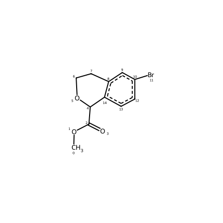 COC(=O)C1OCCc2cc(Br)ccc21